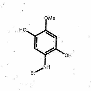 CCNc1cc(O)c(OC)cc1O